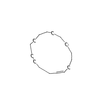 [C]1CCC/C=C\CCCCCCCCCC1